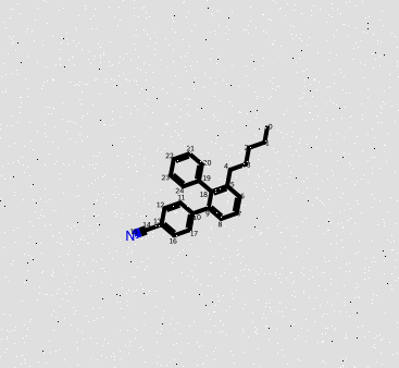 CCCCCc1cccc(-c2ccc(C#N)cc2)c1-c1ccccc1